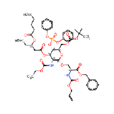 C=CCOC(=O)N[C@@H](CO[C@H]1O[C@H](COC(=O)OC(C)(C)C(Cl)(Cl)Cl)[C@@H](OP(=O)(Oc2ccccc2)Oc2ccccc2)[C@H](OC(=O)C[C@@H](CCCCCCCCCCC)OC(=O)CCCCCCCCCCCCC)[C@H]1NC(=O)OCC(Cl)(Cl)Cl)C(=O)OCc1ccccc1